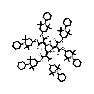 CC1(C)CC(OC(=O)C(C(=O)OC2CC(C)(C)N(C3CCCCC3)C(C)(C)C2)=C2NC(=C(C(=O)OC3CC(C)(C)N(C4CCCCC4)C(C)(C)C3)C(=O)OC3CC(C)(C)N(C4CCCCC4)C(C)(C)C3)NC(=C(C(=O)OC3CC(C)(C)N(C4CCCCC4)C(C)(C)C3)C(=O)OC3CC(C)(C)N(C4CCCCC4)C(C)(C)C3)N2)CC(C)(C)N1C1CCCCC1